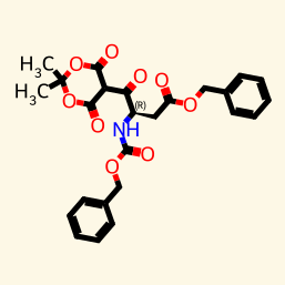 CC1(C)OC(=O)C(C(=O)[C@@H](CC(=O)OCc2ccccc2)NC(=O)OCc2ccccc2)C(=O)O1